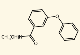 CN(O)C(=O)c1cccc(Oc2ccccc2)c1